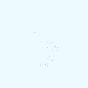 Cn1nc2c(=O)n(CC3(O)CCN(C(=O)CC(C4CC4)C4CC4)CC3)cnc2c1-c1ccc(CN)cc1